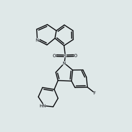 O=S(=O)(c1cccc2ccncc12)n1cc(C2=CCNCC2)c2cc(F)ccc21